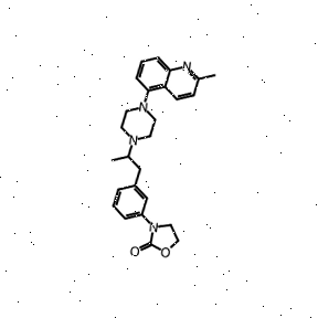 Cc1ccc2c(N3CCN(C(C)Cc4cccc(N5CCOC5=O)c4)CC3)cccc2n1